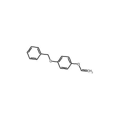 C=COc1ccc(OCc2ccccc2)cc1